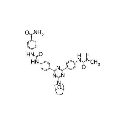 CNC(=O)Nc1ccc(-c2nc(-c3ccc(NC(=O)Nc4ccc(C(N)=O)cc4)cc3)nc(N3CC4CCC(C3)O4)n2)cc1